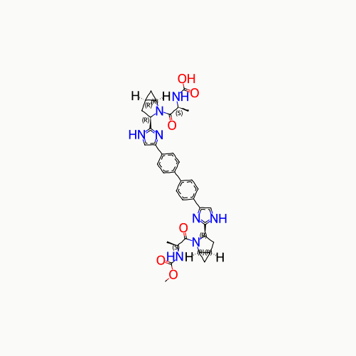 COC(=O)N[C@@H](C)C(=O)N1[C@@H](c2nc(-c3ccc(-c4ccc(-c5c[nH]c([C@H]6C[C@H]7C[C@H]7N6C(=O)[C@H](C)NC(=O)O)n5)cc4)cc3)c[nH]2)C[C@H]2C[C@H]21